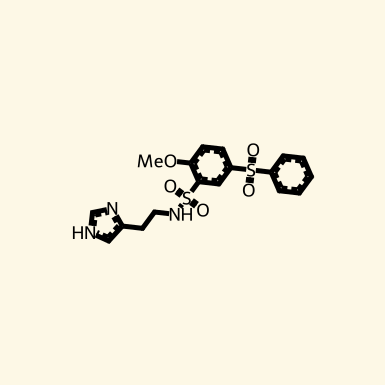 COc1ccc(S(=O)(=O)c2ccccc2)cc1S(=O)(=O)NCCc1c[nH]cn1